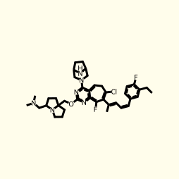 CCc1cc(/C=C\C=C(/C)C2=C(Cl)CC=c3c(N4CC5CCC(C4)N5)nc(OCC45CCCN4C(CN(C)C)CC5)nc3=C2F)ccc1F